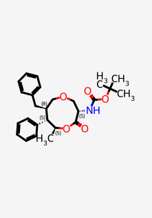 C[C@@H]1OC(=O)[C@@H](NC(=O)OC(C)(C)C)COC[C@H](Cc2ccccc2)[C@H]1c1ccccc1